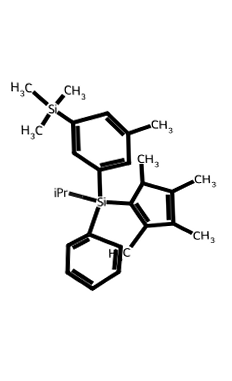 CC1=C(C)C(C)C([Si](c2ccccc2)(c2cc(C)cc([Si](C)(C)C)c2)C(C)C)=C1C